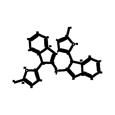 Cc1ccc(C2[C]([Zr][C]3=Cc4ccccc4C3c3ccc(C)o3)=Cc3ccccc32)o1